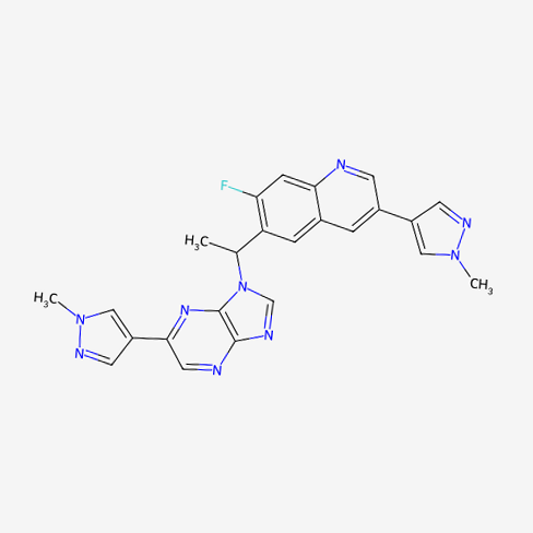 CC(c1cc2cc(-c3cnn(C)c3)cnc2cc1F)n1cnc2ncc(-c3cnn(C)c3)nc21